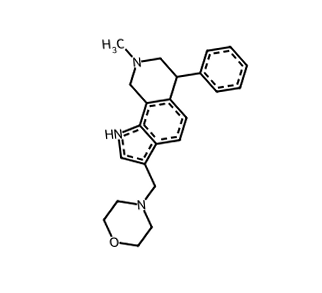 CN1Cc2c(ccc3c(CN4CCOCC4)c[nH]c23)C(c2ccccc2)C1